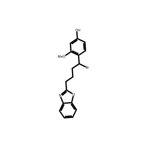 COc1cc(O)ccc1C(Br)CCCc1nc2ccccc2o1